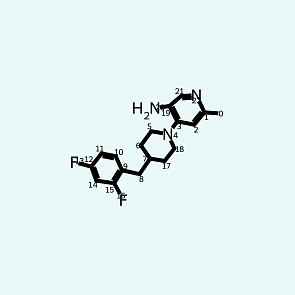 Cc1cc(N2CCC(Cc3ccc(F)cc3F)CC2)c(N)cn1